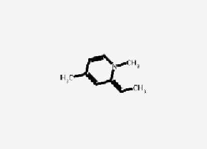 C/C=C1/C=C(C)C=CN1C